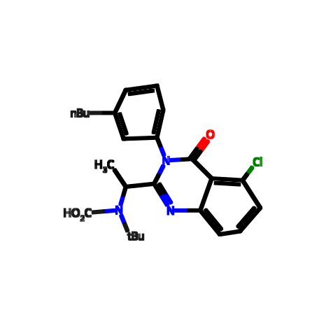 CCCCc1cccc(-n2c(C(C)N(C(=O)O)C(C)(C)C)nc3cccc(Cl)c3c2=O)c1